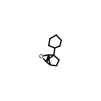 C1CCC(C23CCC(C2)C2=C3O2)CC1